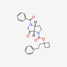 O=C1CN(C(=O)c2ccccc2)[C@@H]2CCN(C(=O)OC3(CCc4ccccc4)CCC3)[C@H]12